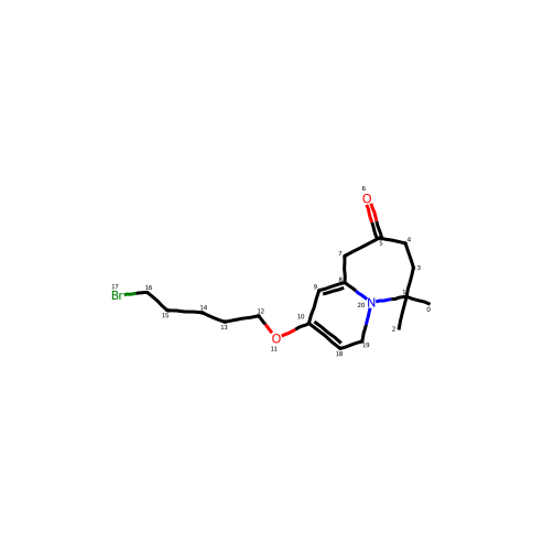 CC1(C)CCC(=O)CC2=CC(OCCCCCBr)=CCN21